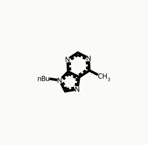 CCCCn1cnc2c(C)ncnc21